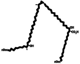 CCCCCCCCCCCCCCCCCCCCCCCC[C@@H](C(=O)O)[C@H](O)CCCCCCCCCCCCCCCC[C@H]1C[C@@H]1[C@@H](C)CCCCCCCCCCCCCCCCCC[C@H](O)[C@H](C)CCCCCCCCCCCCCCCCCC